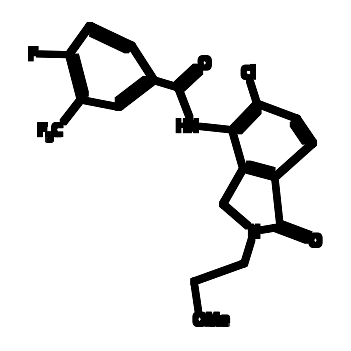 COCCN1Cc2c(ccc(Cl)c2NC(=O)c2ccc(F)c(C(F)(F)F)c2)C1=O